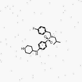 CC(C)CN(Cc1ccc(F)cc1)S(=O)(=O)c1ccc(NC2CCNCC2)cc1